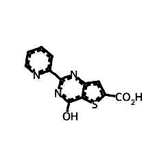 O=C(O)c1cc2nc(-c3ccccn3)nc(O)c2s1